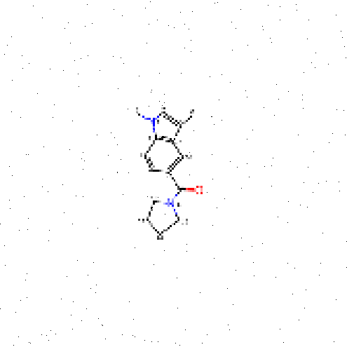 Cc1cn(C)c2ccc(C(=O)N3CCCC3)cc12